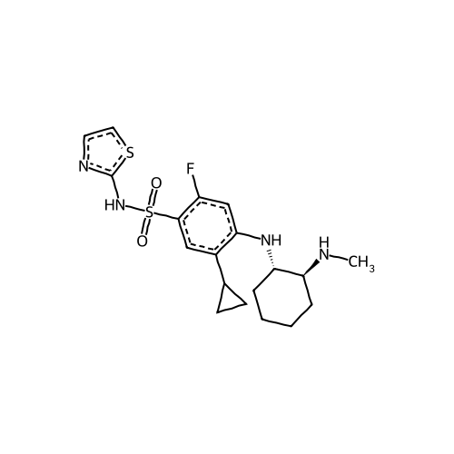 CN[C@H]1CCCC[C@@H]1Nc1cc(F)c(S(=O)(=O)Nc2nccs2)cc1C1CC1